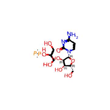 Nc1ccn([C@@H]2O[C@H](CO)[C@@H](O)[C@H]2O)c(=O)n1.OCC(O)CO.[P].[P]